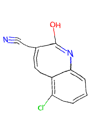 N#Cc1cc2c(Cl)cccc2nc1O